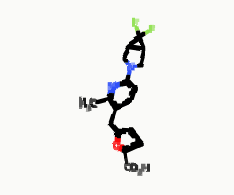 Cc1nc(N2CC3C(C2)C3(F)F)ccc1Cc1ccc(C(=O)O)o1